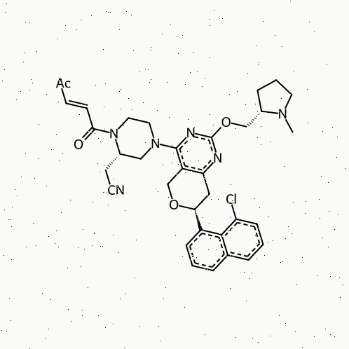 CC(=O)/C=C/C(=O)N1CCN(c2nc(OC[C@@H]3CCCN3C)nc3c2CO[C@H](c2cccc4cccc(Cl)c24)C3)C[C@@H]1CC#N